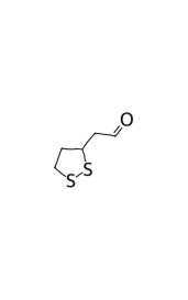 O=CCC1CCSS1